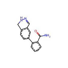 NC(=O)c1ccccc1-c1ccc2c(c1)C=NNC2